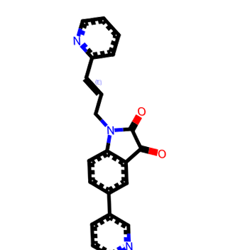 O=C1C(=O)N(C/C=C/c2ccccn2)c2ccc(-c3cccnc3)cc21